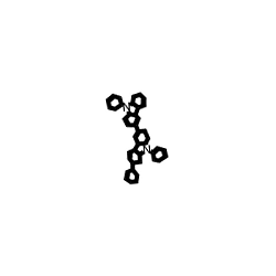 C1=CCCC(N2C3CCC(C4=CC5C6C=CCCC6N(C6CC=CCC6)C5C=C4)=CC3C3C=CC(C4C=CCCC4)CC32)=C1